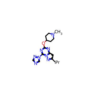 CC(C)c1cc2nc(OC3CCN(C)CC3)nc(-n3cncn3)n2n1